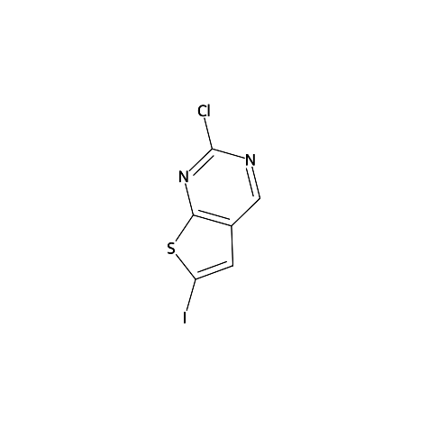 Clc1ncc2cc(I)sc2n1